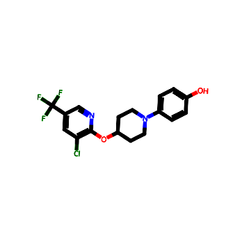 Oc1ccc(N2CCC(Oc3ncc(C(F)(F)F)cc3Cl)CC2)cc1